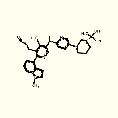 Cc1c(Nc2ccc(N3CCC[C@@H](C(C)(C)O)C3)cn2)cnc(-c2cccc3c2ccn3C)c1CNC=O